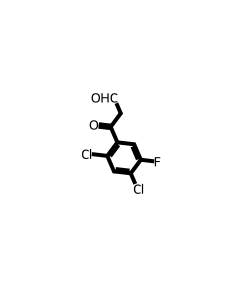 O=CCC(=O)c1cc(F)c(Cl)cc1Cl